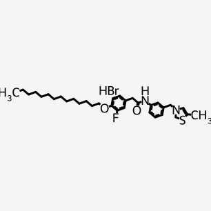 Br.CCCCCCCCCCCCCCOc1ccc(CC(=O)Nc2cccc(CN3C=C(C)SC3)c2)cc1F